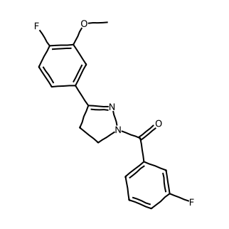 COc1cc(C2=NN(C(=O)c3cccc(F)c3)CC2)ccc1F